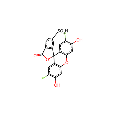 O=C1OC2(c3cc(F)c(O)cc3Oc3cc(O)c(F)cc32)c2cc(S(=O)(=O)O)ccc21